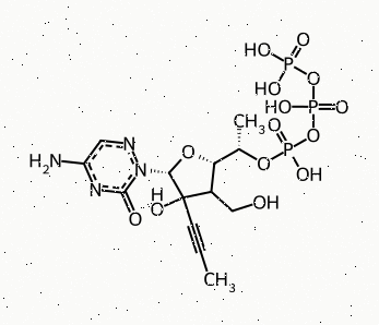 CC#CC1(O)C(CO)[C@@H]([C@H](C)OP(=O)(O)OP(=O)(O)OP(=O)(O)O)O[C@H]1n1ncc(N)nc1=O